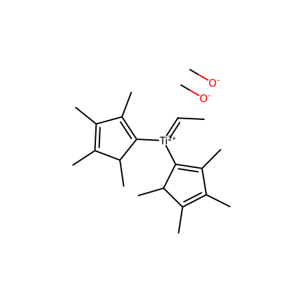 C[CH]=[Ti+2]([C]1=C(C)C(C)=C(C)C1C)[C]1=C(C)C(C)=C(C)C1C.C[O-].C[O-]